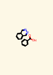 O=C(O)c1ccccc1.c1ccc2cnncc2c1